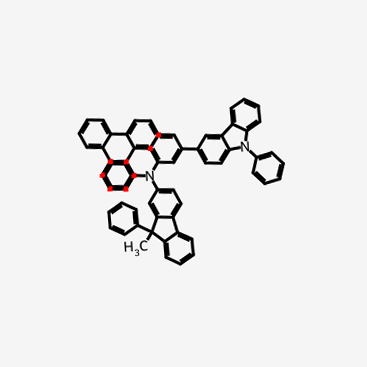 CC1(c2ccccc2)c2ccccc2-c2ccc(N(c3cccc(-c4ccc5c(c4)c4ccccc4n5-c4ccccc4)c3)c3ccccc3-c3ccccc3-c3ccccc3-c3ccccc3)cc21